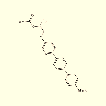 CCCCCc1ccc(-c2ccc(-c3ncc(OCC(OC(=O)CCC)C(F)(F)F)cn3)cc2)cc1